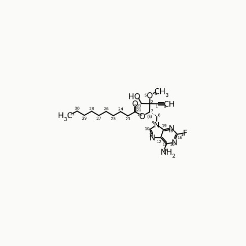 C#CC(CO)(OC)[C@H](Cn1cnc2c(N)nc(F)nc21)OC(=O)CCCCCCCCC